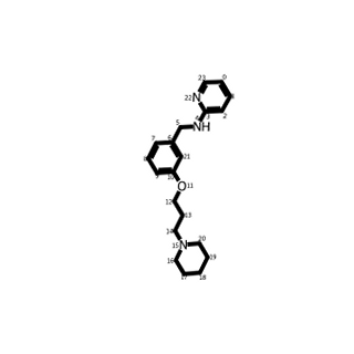 c1ccc(NCc2cccc(OCCCN3CCCCC3)c2)nc1